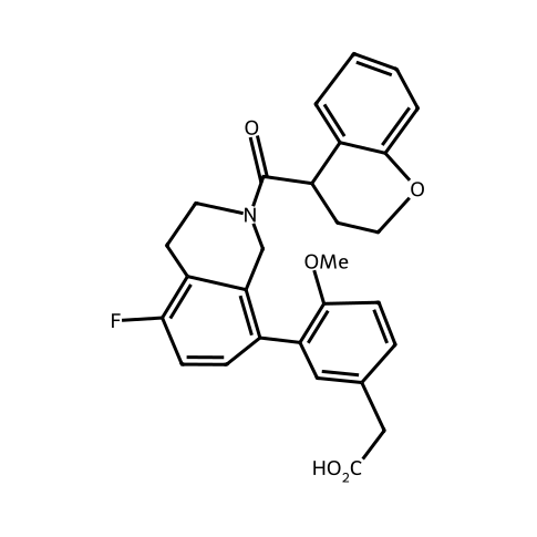 COc1ccc(CC(=O)O)cc1-c1ccc(F)c2c1CN(C(=O)C1CCOc3ccccc31)CC2